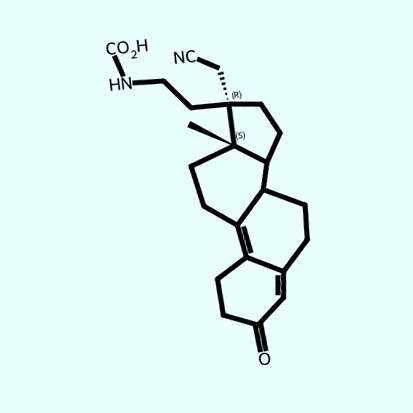 C[C@]12CCC3=C4CCC(=O)C=C4CCC3C1CC[C@]2(CC#N)CCNC(=O)O